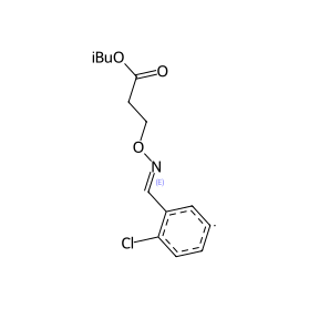 CC(C)COC(=O)CCO/N=C/c1c[c]ccc1Cl